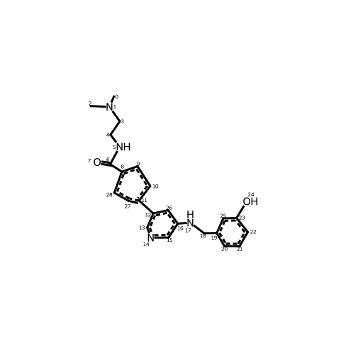 CN(C)CCNC(=O)c1ccc(-c2cncc(NCc3cccc(O)c3)c2)cc1